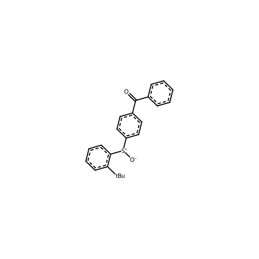 CC(C)(C)c1ccccc1[S+]([O-])c1ccc(C(=O)c2ccccc2)cc1